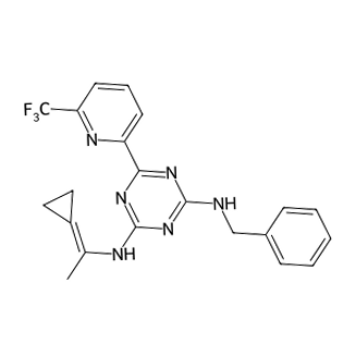 CC(Nc1nc(NCc2ccccc2)nc(-c2cccc(C(F)(F)F)n2)n1)=C1CC1